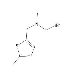 Cc1ccc(CN(C)CC(C)C)s1